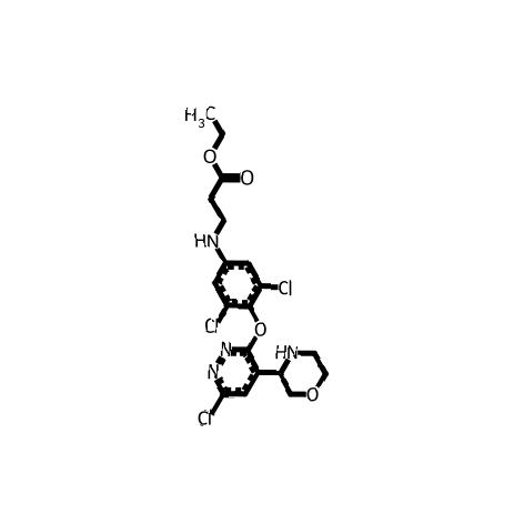 CCOC(=O)CCNc1cc(Cl)c(Oc2nnc(Cl)cc2C2COCCN2)c(Cl)c1